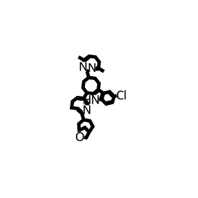 CC1=C/CC/C(C)=N/C(C2CCc3c([nH]c4ccc(Cl)cc34)C(C3=C/CC/C=C(C4CCC5COC(C5)C4)/N=C\3)CC2)=N\1